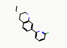 CC[C@H]1CNc2cc(-c3cccc(Cl)n3)ccc2C1